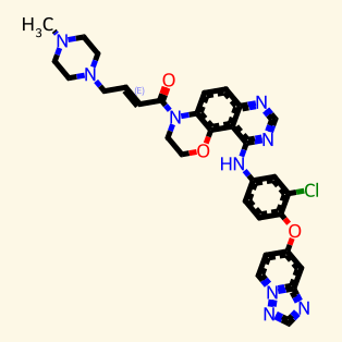 CN1CCN(C/C=C/C(=O)N2CCOc3c2ccc2ncnc(Nc4ccc(Oc5ccn6ncnc6c5)c(Cl)c4)c32)CC1